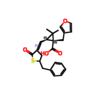 CC1(C)[C@H](/C=C2\CC(Cc3ccccc3)SC2=O)[C@@]1(Cc1ccoc1)C(=O)O